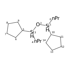 CCC[SiH](O[SiH](CCC)C1CCCC1)C1CCCC1